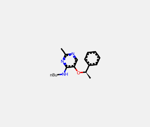 CCCCNc1nc(C)ncc1O[C@H](C)c1ccccc1